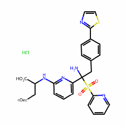 CCCCCCCCCCCC(Nc1cccc(C(N)(Cc2ccc(-c3nccs3)cc2)S(=O)(=O)c2ccccn2)n1)C(=O)O.Cl